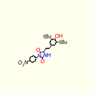 CC(C)(C)c1cc(C=CC2NC(=O)N(c3ccc([N+](=O)[O-])cc3)C2=O)cc(C(C)(C)C)c1O